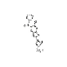 O=C(O)c1cnn(-c2nc3cc([S+]([O-])c4ccccc4)c(Cl)cc3[nH]2)c1